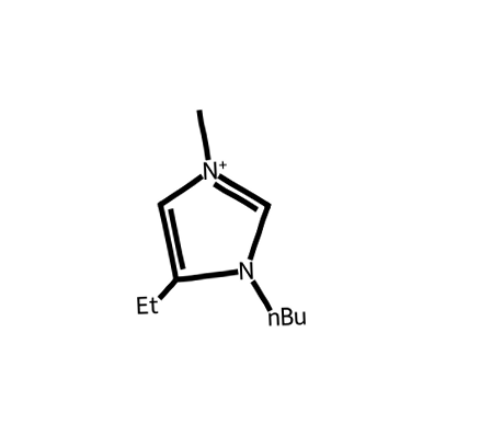 CCCCn1c[n+](C)cc1CC